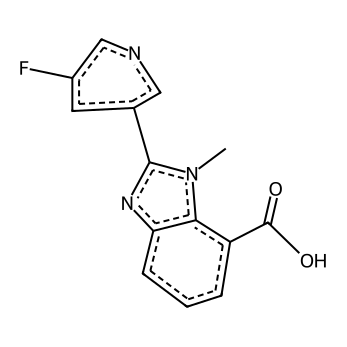 Cn1c(-c2cncc(F)c2)nc2cccc(C(=O)O)c21